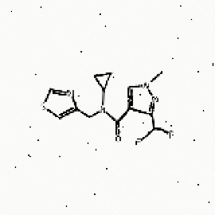 Cn1cc(C(=O)N(Cc2cscn2)C2CC2)c(C(F)F)n1